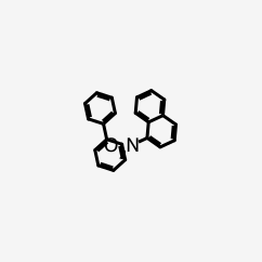 O=[N+]([O-])c1cccc2ccccc12.c1ccc(-c2ccccc2)cc1